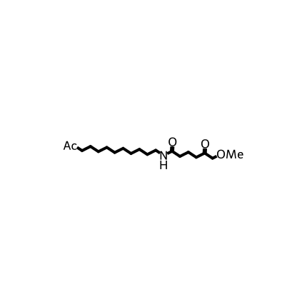 COCC(=O)CCCC(=O)NCCCCCCCCCCC(C)=O